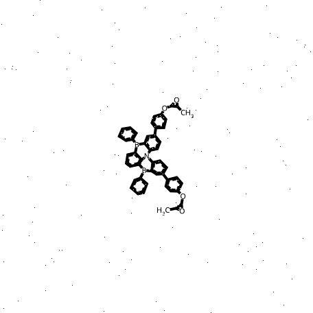 CC1OC1Oc1ccc(-c2ccc3c(c2)B(c2ccccc2)c2cccc4c2N3c2ccc(-c3ccc(OC5OC5C)cc3)cc2B4c2ccccc2)cc1